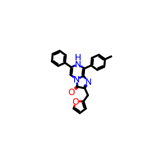 Cc1ccc(-c2[nH]c(-c3ccccc3)cn3c(=O)c(Cc4ccco4)nc2-3)cc1